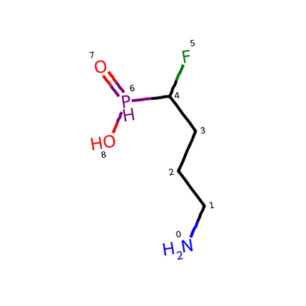 NCCCC(F)[PH](=O)O